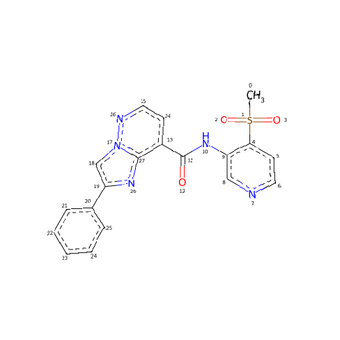 CS(=O)(=O)c1ccncc1NC(=O)c1ccnn2cc(-c3ccccc3)nc12